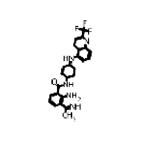 CC(=N)c1cccc(C(=O)NC2CCC(NC3=CC=CC4=NC(C(F)(F)F)=CCC34)CC2)c1N